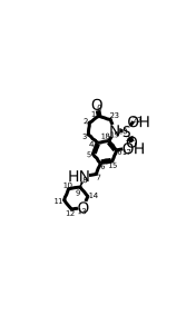 O=C1CCc2cc(CN[C@@H]3CCCOC3)cc(O)c2N(S(=O)O)C1